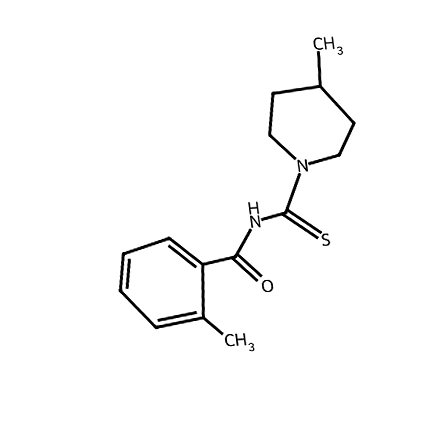 Cc1ccccc1C(=O)NC(=S)N1CCC(C)CC1